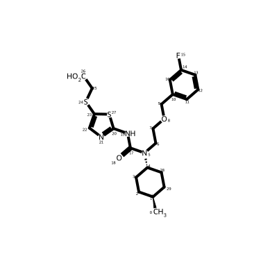 C[C@H]1CC[C@H](N(CCOCc2cccc(F)c2)C(=O)Nc2ncc(SCC(=O)O)s2)CC1